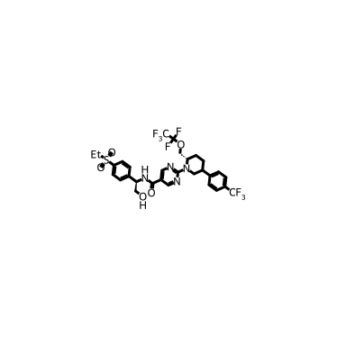 CCS(=O)(=O)c1ccc([C@H](CO)NC(=O)c2cnc(N3CC(c4ccc(C(F)(F)F)cc4)CC[C@H]3COC(F)(F)C(F)(F)F)nc2)cc1